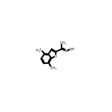 C/C(=N\O)c1cc2c(C)ccc(C)c2o1